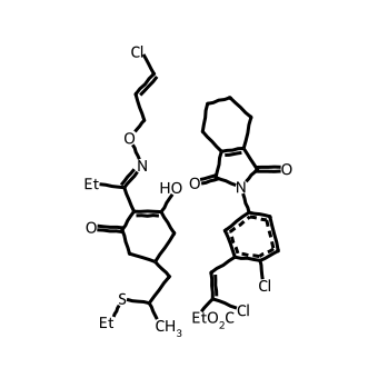 CCOC(=O)/C(Cl)=C/c1cc(N2C(=O)C3=C(CCCC3)C2=O)ccc1Cl.CCSC(C)CC1CC(=O)C(/C(CC)=N/OC/C=C/Cl)=C(O)C1